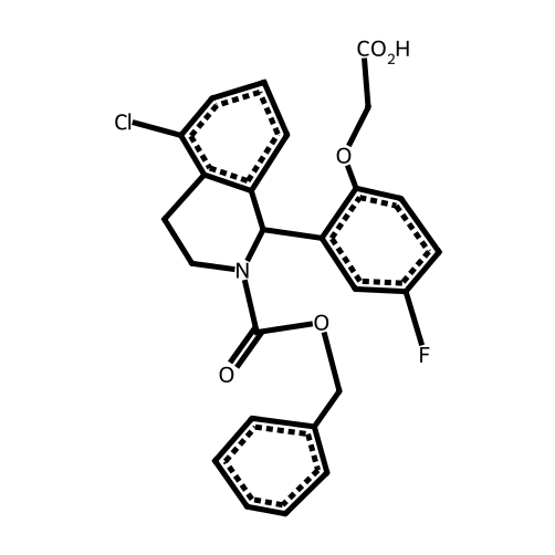 O=C(O)COc1ccc(F)cc1C1c2cccc(Cl)c2CCN1C(=O)OCc1ccccc1